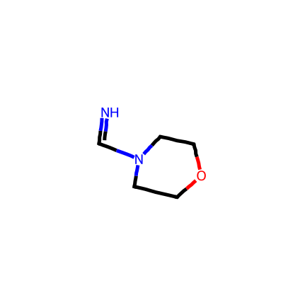 N=CN1CCOCC1